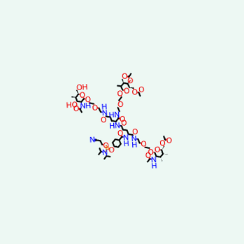 CC(=O)N[C@H]1C(OCCOCCNC(=O)C(CCC(=O)NC(CCC(=O)NCCOCCOC2O[C@H](CO)[C@H](C)[C@H](O)[C@H]2NC(C)=O)C(=O)NCCOCCOC2O[C@H](COC(C)=O)[C@H](OC(C)=O)[C@H](C)C2C)NC(=O)C2CCC(OP(OCCC#N)N(C(C)C)C(C)C)CC2)O[C@H](COC(C)=O)[C@H](C)[C@@H]1C